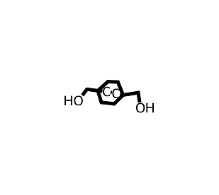 OCC12CCC(CO)(CC1)CC2